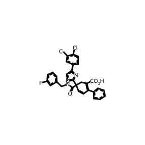 O=C(O)C1=C(c2ccccc2)C=CC(C(=O)NCc2cccc(F)c2)(c2nc(-c3ccc(Cl)c(Cl)c3)cs2)C1